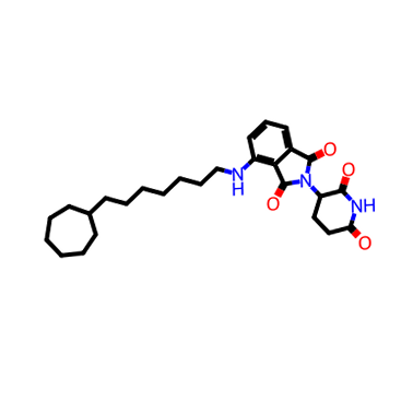 O=C1CCC(N2C(=O)c3cccc(NCCCCCCCC4CCCCCC4)c3C2=O)C(=O)N1